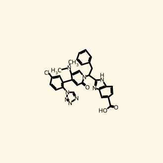 CN(C)c1cn(C(Cc2ccccc2)c2nc3cc(C(=O)O)ccc3[nH]2)c(=O)cc1-c1cc(Cl)ccc1-n1cnnn1